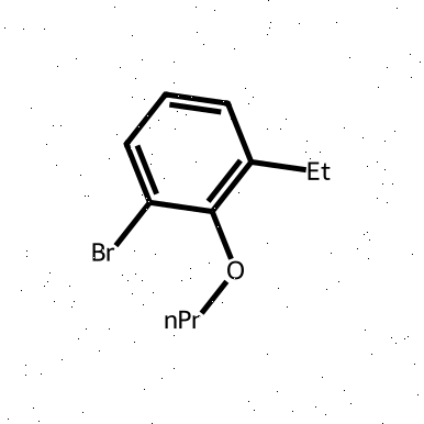 CCCOc1c(Br)cccc1CC